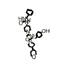 C=C(N[C@H](Cc1ccc(O)cc1)C(=O)N1CCC(C2CCOCC2)CC1)N1CCC(n2nc(-c3ccccc3)[nH]c2=O)CC1